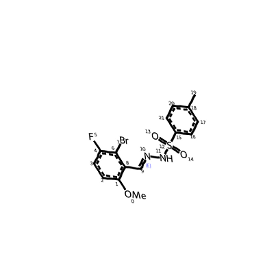 COc1ccc(F)c(Br)c1/C=N/NS(=O)(=O)c1ccc(C)cc1